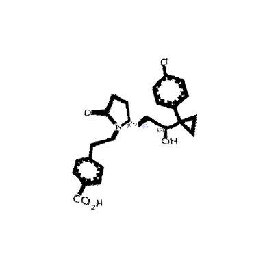 O=C(O)c1ccc(CCN2C(=O)CC[C@@H]2/C=C/[C@H](O)C2(c3ccc(Cl)cc3)CC2)cc1